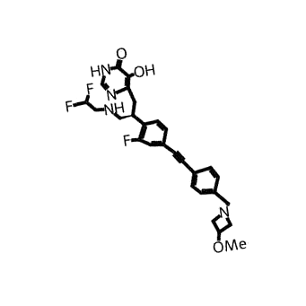 COC1CN(Cc2ccc(C#Cc3ccc([C@@H](CNCC(F)F)Cc4nc[nH]c(=O)c4O)c(F)c3)cc2)C1